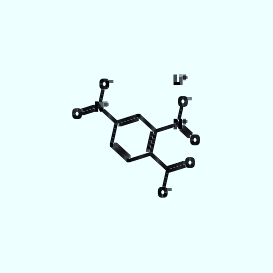 O=C([O-])c1ccc([N+](=O)[O-])cc1[N+](=O)[O-].[Li+]